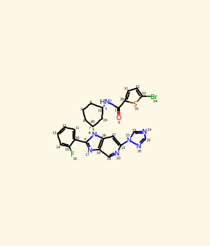 O=C(N[C@H]1CCC[C@@H](n2c(-c3ccccc3F)nc3cnc(-n4cncn4)cc32)C1)c1ccc(Br)s1